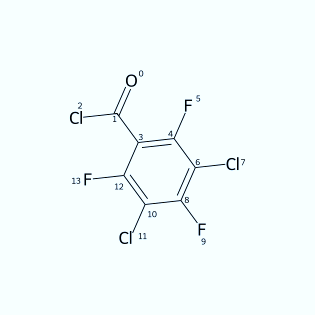 O=C(Cl)c1c(F)c(Cl)c(F)c(Cl)c1F